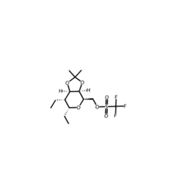 CC[C@@H]1[C@H]2OC(C)(C)O[C@H]2[C@@H](COS(=O)(=O)C(F)(F)F)O[C@@H]1CC